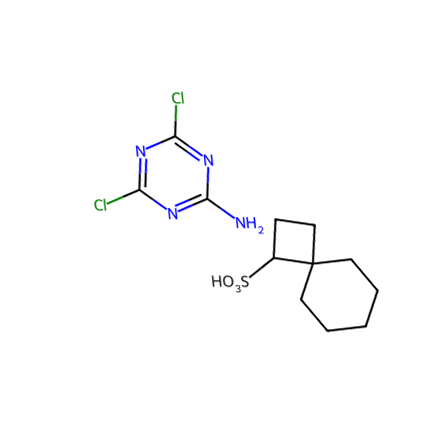 Nc1nc(Cl)nc(Cl)n1.O=S(=O)(O)C1CCC12CCCCC2